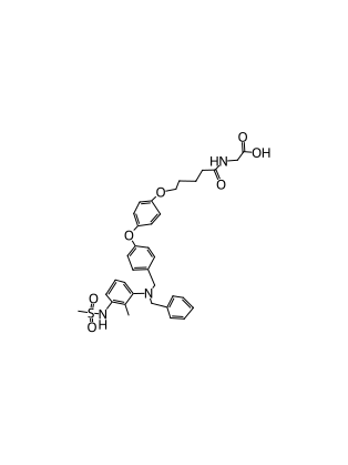 Cc1c(NS(C)(=O)=O)cccc1N(Cc1ccccc1)Cc1ccc(Oc2ccc(OCCCCC(=O)NCC(=O)O)cc2)cc1